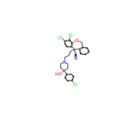 N#CC1(CCCN2CCC(O)(c3ccc(Cl)cc3)CC2)c2ccccc2COc2c1ccc(Cl)c2Cl